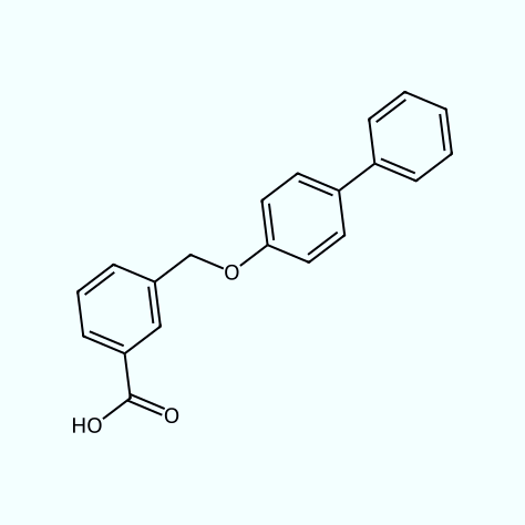 O=C(O)c1cccc(COc2ccc(-c3ccccc3)cc2)c1